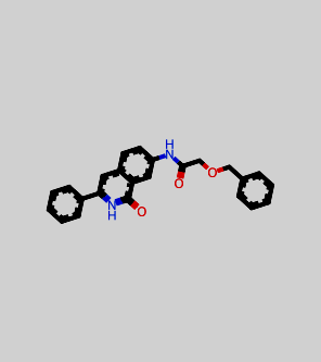 O=C(COCc1ccccc1)Nc1ccc2cc(-c3ccccc3)[nH]c(=O)c2c1